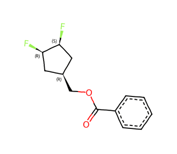 O=C(OC[C@H]1C[C@@H](F)[C@@H](F)C1)c1ccccc1